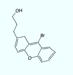 OCCCC1=CC=C2Oc3ccccc3C(Br)=C2C1